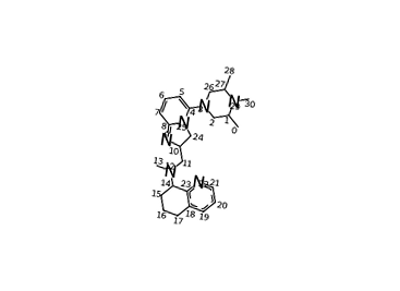 CC1CN(C2=CC=CC3=NC(CN(C)C4CCCc5cccnc54)CN23)CC(C)N1C